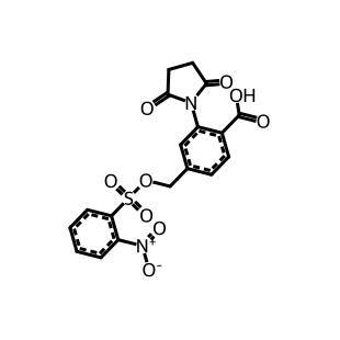 O=C(O)c1ccc(COS(=O)(=O)c2ccccc2[N+](=O)[O-])cc1N1C(=O)CCC1=O